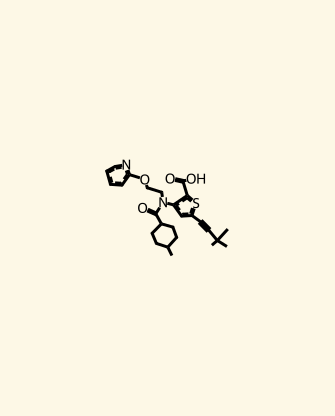 CC1CCC(C(=O)N(CCOc2ccccn2)c2cc(C#CC(C)(C)C)sc2C(=O)O)CC1